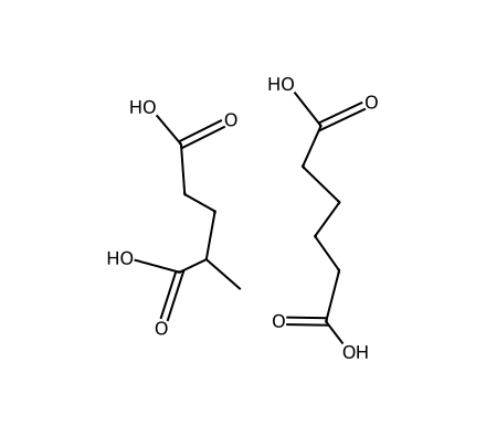 CC(CCC(=O)O)C(=O)O.O=C(O)CCCCC(=O)O